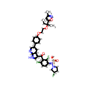 Cc1cc(C(C)(CC(=O)O)OCCOc2ccc(-c3cnc4[nH]cc(C(=O)c5c(F)ccc(N(N6CC[C@@H](F)C6)[SH](=O)=O)c5F)c4c3)cc2)on1